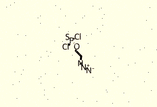 [N-]=[N+]=NCCOP(=S)(Cl)Cl